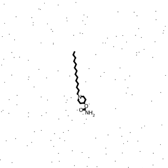 CCCCCCCCCCCCCCN1CCC(OC(N)=O)CC1